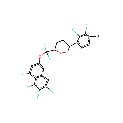 CCCc1ccc(C2CCC(C(F)(F)Oc3cc(F)c4c(F)c(F)c(F)cc4c3)OC2)c(F)c1F